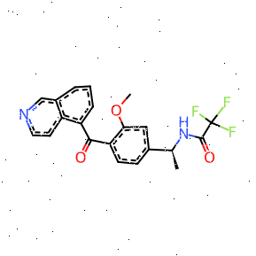 COc1cc([C@H](C)NC(=O)C(F)(F)F)ccc1C(=O)c1cccc2cnccc12